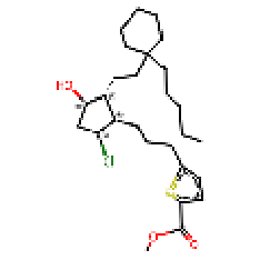 CCCCCC1(CC[C@@H]2[C@@H](CCCc3ccc(C(=O)OC)s3)[C@@H](Cl)C[C@H]2O)CCCCC1